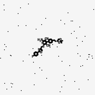 CC1(C)OC[C@@H](CCc2ccc(-c3c(C#N)c(N)nc(SCc4coc(-c5ccc(F)cc5)n4)c3C#N)cc2)O1